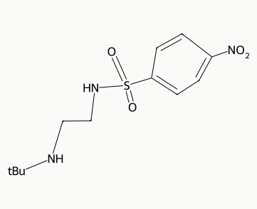 CC(C)(C)NCCNS(=O)(=O)c1ccc([N+](=O)[O-])cc1